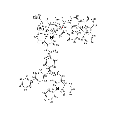 CC(CC(c1ccc(-c2ccc3c(c2)C2(c4ccccc4-3)c3ccccc3-c3ccc(-c4cccc(-n5c6ccccc6c6cc(-c7ccc(N(c8ccc(-c9ccccc9)cc8)c8ccc9c%10ccccc%10n(-c%10ccccc%10)c9c8)cc7)ccc65)c4)cc32)cc1)C(C)C(C)(C)C)C(C)(C)C